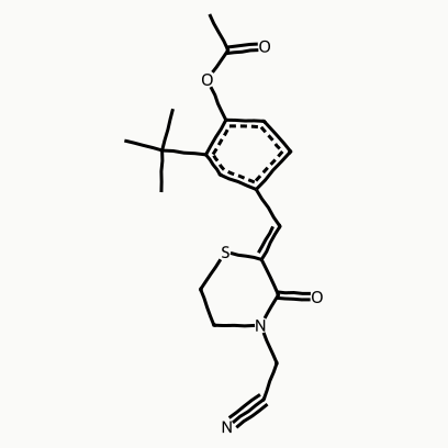 CC(=O)Oc1ccc(C=C2SCCN(CC#N)C2=O)cc1C(C)(C)C